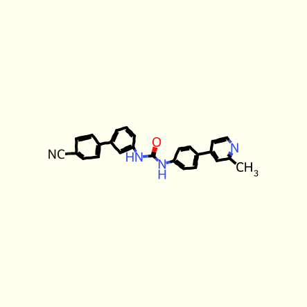 Cc1cc(-c2ccc(NC(=O)Nc3cccc(-c4ccc(C#N)cc4)c3)cc2)ccn1